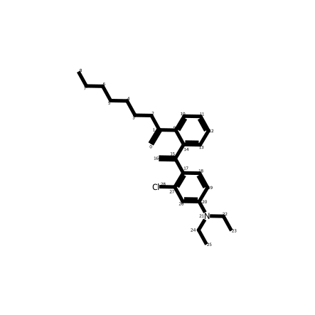 C=C(CCCCCCC)c1ccccc1C(=C)c1ccc(N(CC)CC)cc1Cl